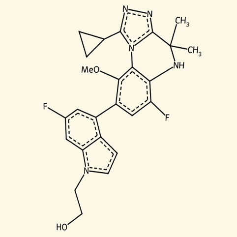 COc1c(-c2cc(F)cc3c2ccn3CCO)cc(F)c2c1-n1c(C3CC3)nnc1C(C)(C)N2